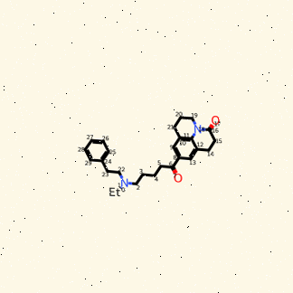 CCN(CCCCC(=O)c1cc2c3c(c1)CCC(=O)N3CCC2)CCc1ccccc1